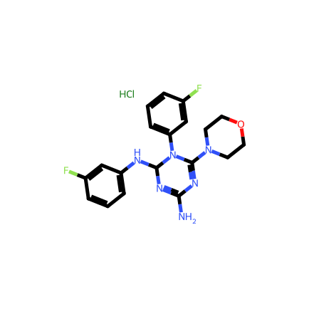 Cl.NC1=NC(Nc2cccc(F)c2)N(c2cccc(F)c2)C(N2CCOCC2)=N1